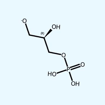 [O]C[C@@H](O)COP(=O)(O)O